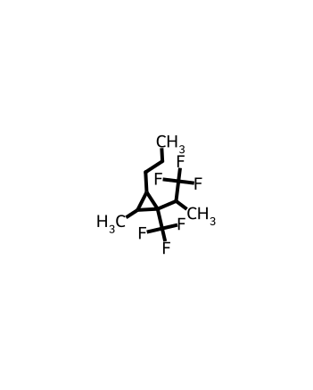 CCCC1C(C)C1(C(C)C(F)(F)F)C(F)(F)F